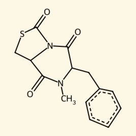 CN1C(=O)C2CSC(=O)N2C(=O)C1Cc1ccccc1